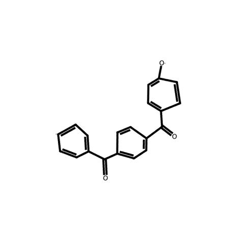 [O]c1ccc(C(=O)c2ccc(C(=O)c3cc[c]cc3)cc2)cc1